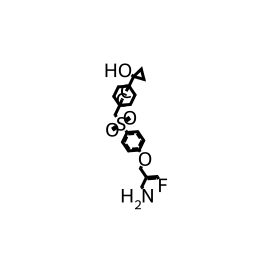 NCC(=CF)COc1ccc(S(=O)(=O)CC23CCC(C4(O)CC4)(CC2)CC3)cc1